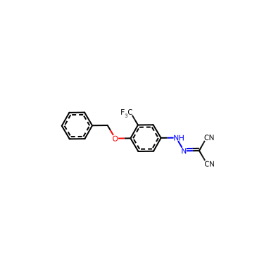 N#CC(C#N)=NNc1ccc(OCc2ccccc2)c(C(F)(F)F)c1